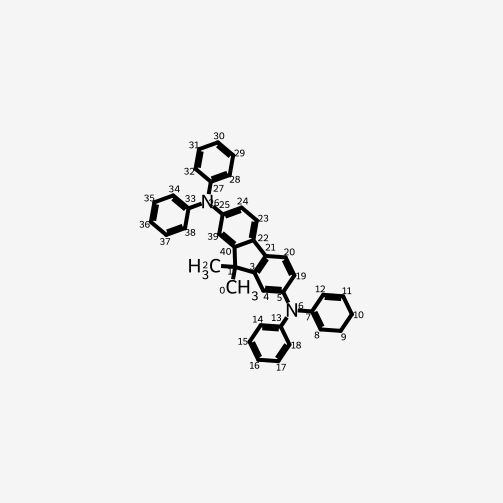 CC1(C)c2cc(N(C3=CCCC=C3)c3ccccc3)ccc2-c2ccc(N(c3ccccc3)c3ccccc3)cc21